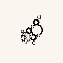 CCS(=O)(=O)c1ccc2c(c1)-c1nn(C)c(=O)cc1OCCCCc1cc(Cl)ccc1O2